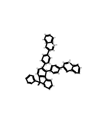 CC1(c2ccccc2)c2ccccc2-c2c1ccc(-c1ccc(-c3cnc4ccccc4c3)cc1)c2-c1ccc(-c2cnc3ccccc3c2)cc1